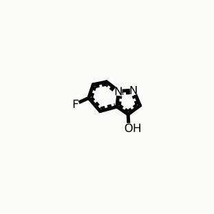 Oc1cnn2ccc(F)cc12